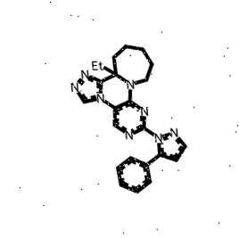 CCC12CCCCCN1c1nc(-n3nccc3-c3ccccc3)ncc1-n1cnnc12